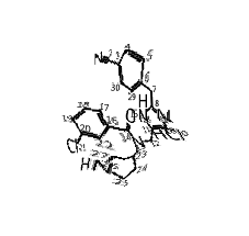 Cl.N#Cc1ccc(Cc2ncc(CN(C(=O)c3cccc(Cl)c3)C3CCNC3)[nH]2)cc1